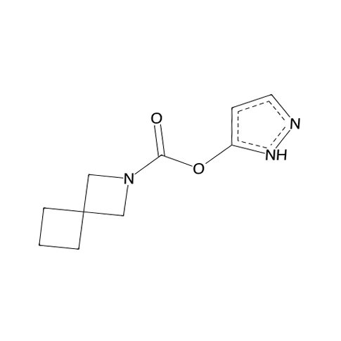 O=C(Oc1ccn[nH]1)N1CC2(CCC2)C1